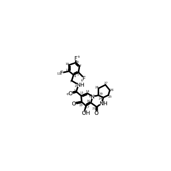 O=C(NCc1c(F)cc(F)cc1F)c1cn2c(c(O)c1=O)C(=O)NC1CCCCC12